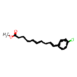 COC(=O)CCCCCCC/C=C/c1ccc(Cl)cc1